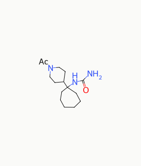 CC(=O)N1CCC(C2(NC(N)=O)CCCCCC2)CC1